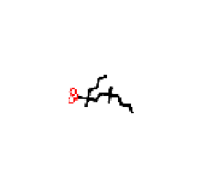 CCCCC(C)(C)CCC(C)(CCCC)C1OO1